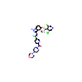 C[C@@H](Oc1ccc2[nH]nc(/C=C(\F)c3ccc(C(=O)N4CCC(N5CCOCC5)CC4)nc3)c2c1)c1c(Cl)cncc1Cl